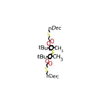 CCCCCCCCCCCCSCCC(=O)Oc1cc(C)c(Sc2cc(C(C)(C)C)c(OC(=O)CCSCCCCCCCCCCCC)cc2C)cc1C(C)(C)C